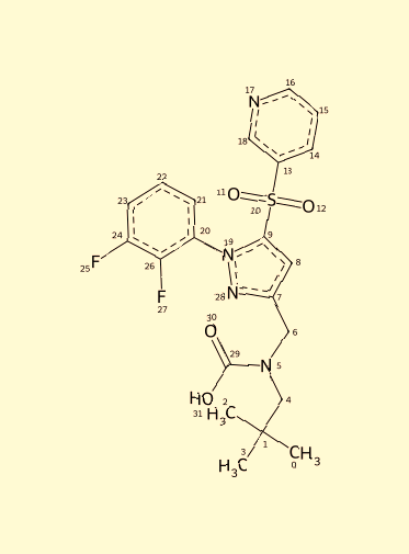 CC(C)(C)CN(Cc1cc(S(=O)(=O)c2cccnc2)n(-c2cccc(F)c2F)n1)C(=O)O